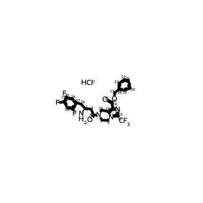 Cl.N[C@@H](CC(=O)N1CCn2c(C(F)(F)F)nc(C(=O)OCc3ccccc3)c2C1)Cc1cc(F)c(F)cc1F